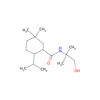 CC(C)C1CCC(C)(C)CC1C(=O)NC(C)(C)CO